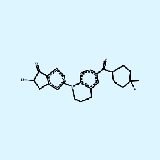 CCC1Cc2cc(N3CCCc4cc(C(=O)N5CCC(C)(F)CC5)cnc43)ccc2C1=O